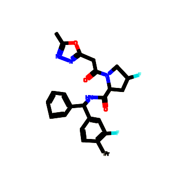 Cc1nnc(CC(=O)N2CC(F)CC2C(=O)NC(c2ccccc2)c2ccc(C(C)C)c(F)c2)o1